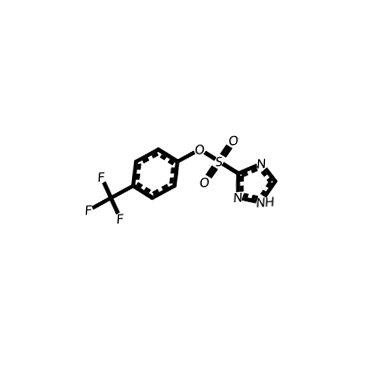 O=S(=O)(Oc1ccc(C(F)(F)F)cc1)c1nc[nH]n1